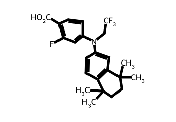 CC1(C)CCC(C)(C)c2cc(N(CC(F)(F)F)c3ccc(C(=O)O)c(F)c3)ccc21